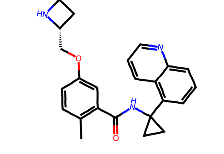 Cc1ccc(OC[C@H]2CCN2)cc1C(=O)NC1(c2cccc3ncccc23)CC1